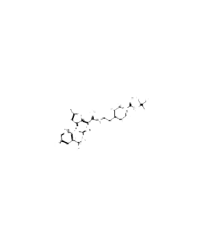 Cc1cc2nc(N[C@@H](C)c3cncc(F)c3)nc(C(=O)NCCC3CCN(C(=O)OC(C)(C)C)CC3)c2s1